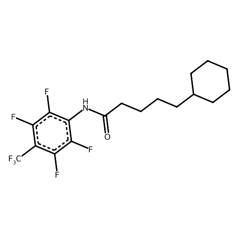 O=C(CCCCC1CCCCC1)Nc1c(F)c(F)c(C(F)(F)F)c(F)c1F